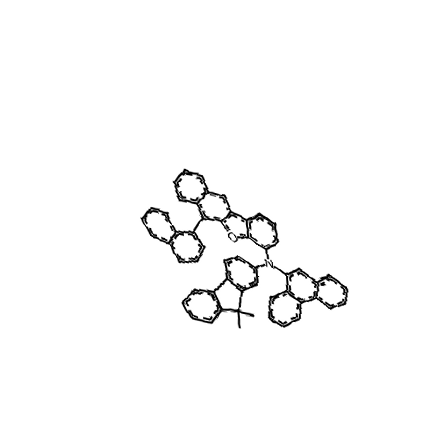 CC1(C)c2ccccc2-c2ccc(N(c3cc4ccccc4c4ccccc34)c3cccc4c3oc3c(-c5cccc6ccccc56)c5ccccc5cc34)cc21